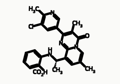 Cc1cc([C@H](C)Nc2ccccc2C(=O)O)c2nc(-c3cnc(C)c(Cl)c3)c(C)c(=O)n2c1